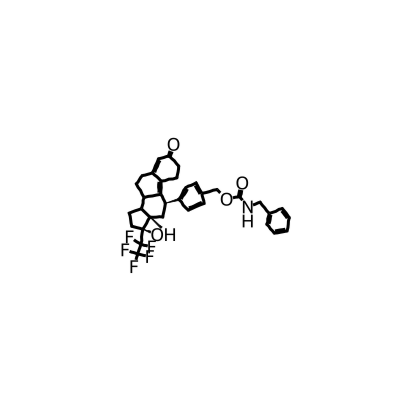 C[C@]12C[C@H](c3ccc(COC(=O)NCc4ccccc4)cc3)C3=C4CCC(=O)C=C4CCC3C1CC[C@@]2(O)C(F)(F)C(F)(F)F